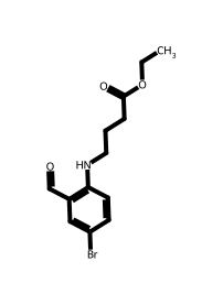 CCOC(=O)CCCNc1ccc(Br)cc1C=O